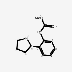 COC(=O)Oc1ccccc1[C@H]1CCC[N]1